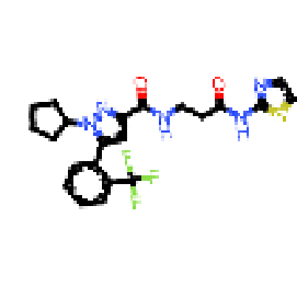 O=C(CCNC(=O)c1cc(-c2ccccc2C(F)(F)F)n(C2CCCC2)n1)Nc1nccs1